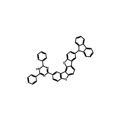 c1ccc(C2=NC(c3ccc4sc5ccc6c7cc(-n8c9ccccc9c9ccccc98)ccc7oc6c5c4c3)=NC(c3ccccc3)N2)cc1